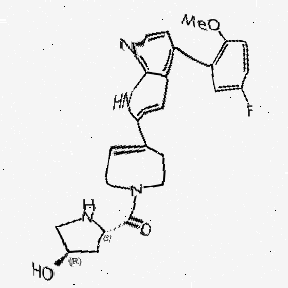 COc1ccc(F)cc1-c1ccnc2[nH]c(C3=CCN(C(=O)[C@@H]4C[C@@H](O)CN4)CC3)cc12